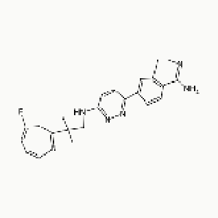 C/N=C(/N)c1ccc(-c2ccc(NCC(C)(C)C3=NC=CC=C(F)C3)nn2)cc1C